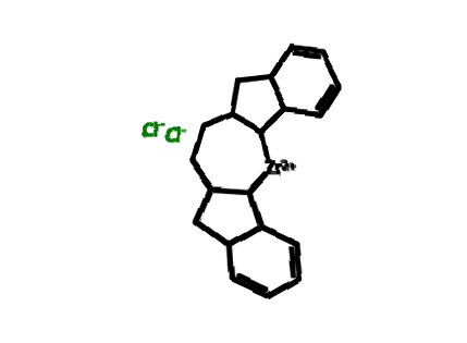 C1=CC2CC3CCC4CC5C=CC=CC5[CH]4[Zr+2][CH]3C2C=C1.[Cl-].[Cl-]